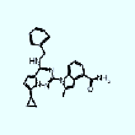 Cc1cc2c(C(N)=O)cccc2n1-c1nc(NCc2ccccc2)c2ccc(C3CC3)n2n1